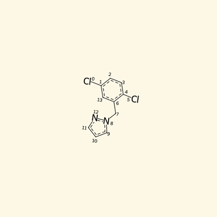 Clc1ccc(Cl)c(Cn2cccn2)c1